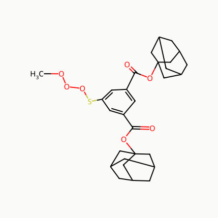 COOOSc1cc(C(=O)OC23CC4CC(CC(C4)C2)C3)cc(C(=O)OC23CC4CC(CC(C4)C2)C3)c1